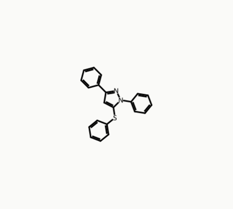 c1ccc(Sc2cc(-c3ccccc3)nn2-c2ccccc2)cc1